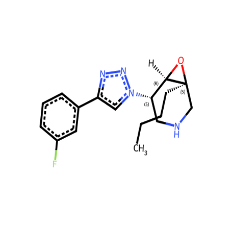 CCCC[C@]12CNC[C@H](n3cc(-c4cccc(F)c4)nn3)[C@H]1O2